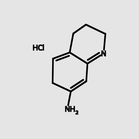 Cl.NC1=CC2=NCCCC2=CC1